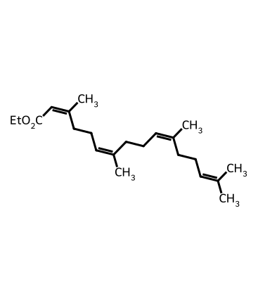 CCOC(=O)C=C(C)CCC=C(C)CCC=C(C)CCC=C(C)C